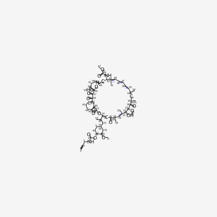 C#CCNC(=O)O[C@@H]1CC[C@@H](C[C@@H](C)[C@@H]2CC(=O)[C@H](C)/C=C(\C)[C@@H](O)[C@@H](OC)C(=O)[C@H](C)C[C@H](C)/C=C/C=C/C=C(\C)C(NC(=O)OC)C[C@@H]3CC[C@@H](C)[C@@](O)(O3)C(=O)C(=O)N3CCCC[C@H]3C(=O)O2)C[C@H]1OC